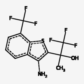 CC(O)(c1sc2c(C(F)(F)F)cccc2c1N)C(F)(F)F